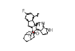 O=C(c1cc2cc(F)cc(F)c2[nH]1)N1C2CCC1CN(c1ncnc3[nH]ccc13)C2